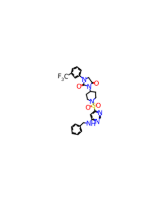 O=C1CN(c2cccc(C(F)(F)F)c2)C(=O)N1C1CCN(S(=O)(=O)c2cc(NCc3ccccc3)ncn2)CC1